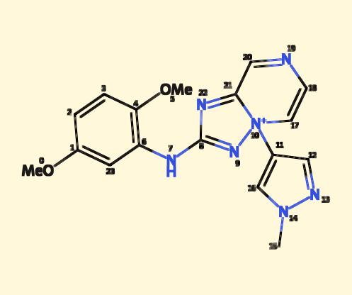 COc1ccc(OC)c(NC2=N[N+]3(c4cnn(C)c4)C=CN=CC3=N2)c1